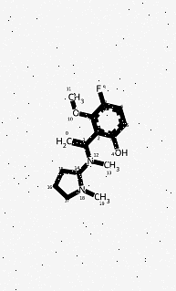 C=C(c1c(O)ccc(F)c1OC)N(C)C1CCCN1C